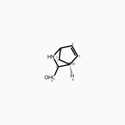 O=CC1NC2C=C[C@@H]1C2